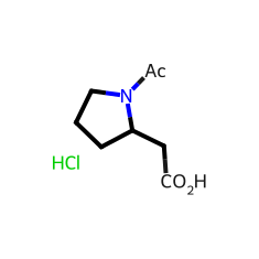 CC(=O)N1CCCC1CC(=O)O.Cl